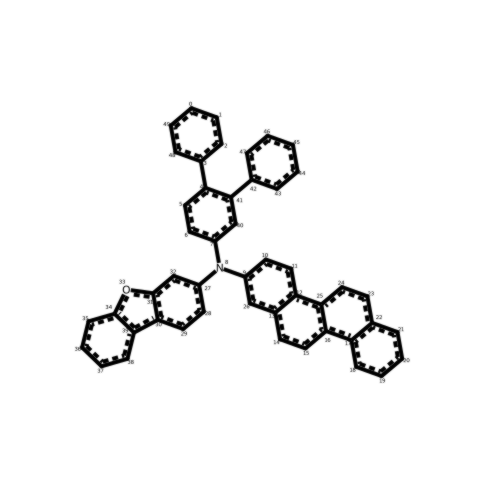 c1ccc(-c2ccc(N(c3ccc4c(ccc5c6ccccc6ccc45)c3)c3ccc4c(c3)oc3ccccc34)cc2-c2ccccc2)cc1